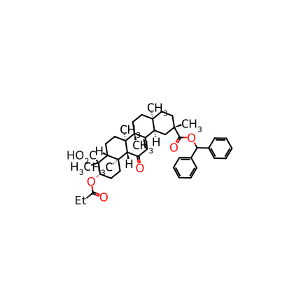 CCC(=O)O[C@H]1CC[C@@]2(C)[C@@H](CC[C@]3(C)[C@@H]2C(=O)C=C2[C@@H]4C[C@@](C)(C(=O)OC(c5ccccc5)c5ccccc5)CC[C@]4(C)CC[C@]23C)[C@]1(C)C(=O)O